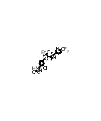 CCC(F)(F)C(OCc1ccc(-c2noc(=O)[nH]2)c(Cl)c1)c1sc(-c2ccc(C(F)(F)F)nc2)nc1C